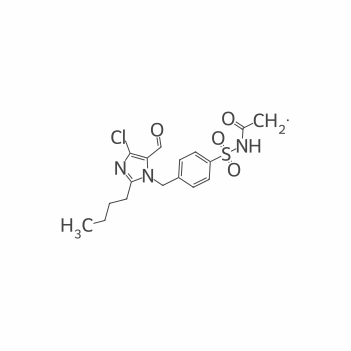 [CH2]C(=O)NS(=O)(=O)c1ccc(Cn2c(CCCC)nc(Cl)c2C=O)cc1